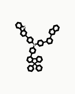 c1ccc(C2(c3ccccc3)c3ccccc3-c3c(-c4ccc(N(c5ccc(-c6cccc(-c7ccc8ccccc8c7)c6)cc5)c5ccc(-c6ccc7c(c6)sc6ccccc67)cc5)cc4)cccc32)cc1